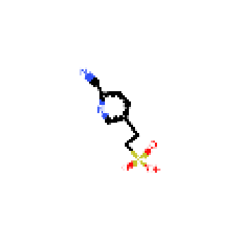 N#Cc1ccc(CCS(=O)(=O)O)cn1